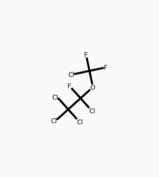 FC(F)(Cl)OC(F)(Cl)C(Cl)(Cl)Cl